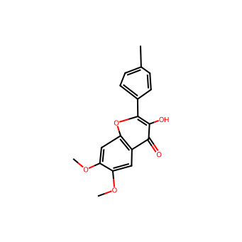 COc1cc2oc(-c3ccc(C)cc3)c(O)c(=O)c2cc1OC